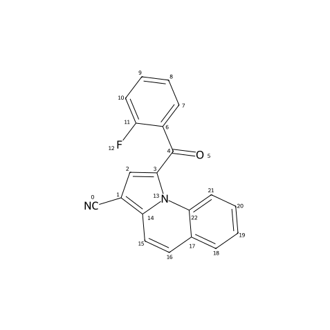 N#Cc1cc(C(=O)c2ccccc2F)n2c1ccc1ccccc12